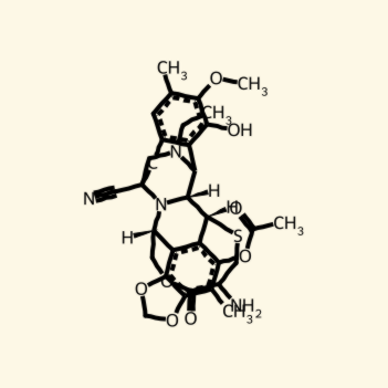 CCN1CC2(C#N)Cc3cc(C)c(OC)c(O)c3C1[C@@H]1[C@@H]3SCC(N)C(=O)OC[C@@H](c4c5c(c(C)c(OC(C)=O)c43)OCO5)N12